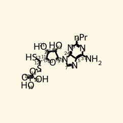 CCCc1nc(N)c2ncn([C@@H]3O[C@H](C(S)SOP(=O)(O)O)[C@@H](O)[C@H]3O)c2n1